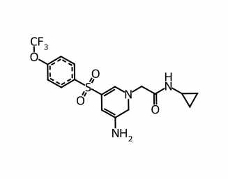 NC1=CC(S(=O)(=O)c2ccc(OC(F)(F)F)cc2)=CN(CC(=O)NC2CC2)C1